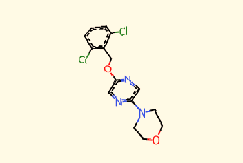 Clc1cccc(Cl)c1COc1cnc(N2CCOCC2)cn1